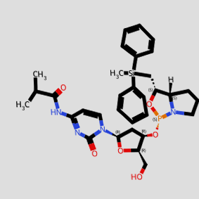 CC(C)C(=O)Nc1ccn([C@H]2C[C@@H](O[P@]3O[C@H](C[Si](C)(c4ccccc4)c4ccccc4)[C@@H]4CCCN43)[C@@H](CO)O2)c(=O)n1